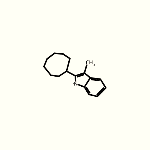 CC1=C(C2CCCCCCC2)[N]c2ccccc21